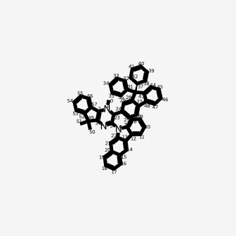 CN1C2=C(N=C(n3c4ccccc4c4cc5ccccc5cc43)C1c1ccc3c(c1)C(c1ccccc1)([C@@H]1C=CC=CC1)c1ccccc1-3)C(C)(C)c1ccccc12